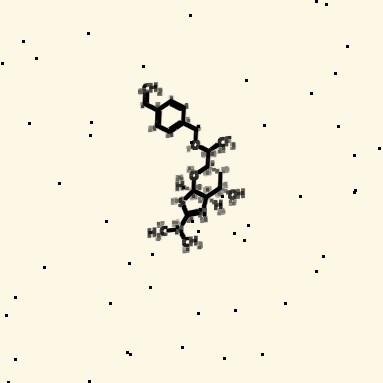 C=Cc1ccc(CO[C@H]([C@@H]2C[C@H](O)[C@H]3N=C(N(C)C)S[C@H]3O2)C(F)(F)F)cc1